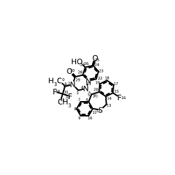 C[C@@H](N1CN([C@H]2c3ccccc3SCc3c(F)cccc32)n2ccc(=O)c(O)c2C1=O)C(C)(F)F